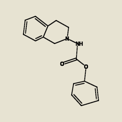 O=C(NN1CCc2ccccc2C1)Oc1ccccc1